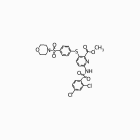 COC(=O)c1nc(NS(=O)(=O)c2ccc(Cl)cc2Cl)ccc1Sc1ccc(S(=O)(=O)N2CCOCC2)cc1